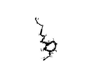 CCCCCCc1[c]ccc(CC)c1